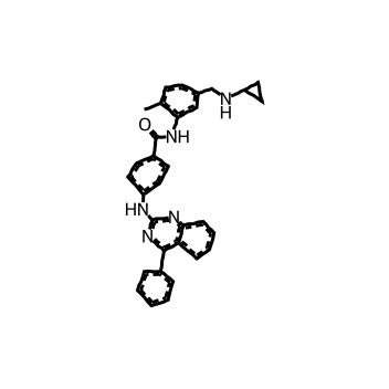 Cc1ccc(CNC2CC2)cc1NC(=O)c1ccc(Nc2nc(-c3ccccc3)c3ccccc3n2)cc1